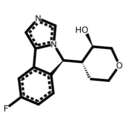 O[C@H]1COCC[C@@H]1[C@H]1c2ccc(F)cc2-c2cncn21